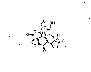 C[C@]12C[C@@H](C(=O)CO)C3=C(C(=O)c4occ5c4[C@]3(C)[C@@H](CCO)OC5=O)C1CCC2=O